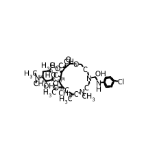 CO[C@]1(C)C[C@@H](C)CN(C)CCN(C(O)Nc2ccc(Cl)cc2)CCCOC(=O)C(C)(C)C(=O)[C@H](C)[C@H]1O[C@@H]1O[C@H](C)C[C@H](N(C)C)[C@H]1O